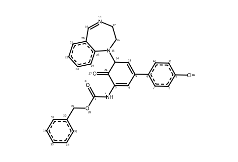 O=C(NC1=CC(c2ccc(Cl)cc2)=CC(N2CCN=Cc3ccccc32)C1=O)OCc1ccccc1